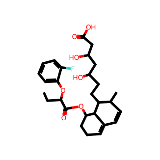 CCC(Oc1ccccc1F)C(=O)OC1CCC=C2C=CC(C)C(CCC(O)CC(O)CC(=O)O)C21